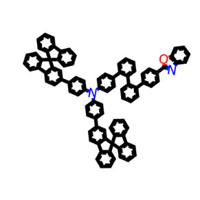 c1ccc(-c2ccccc2-c2ccc(N(c3ccc(-c4ccc5c(c4)C4(c6ccccc6-c6ccccc64)c4ccccc4-5)cc3)c3ccc(-c4ccc5c(c4)C4(c6ccccc6-c6ccccc64)c4ccccc4-5)cc3)cc2)c(-c2ccc(-c3nc4ccccc4o3)cc2)c1